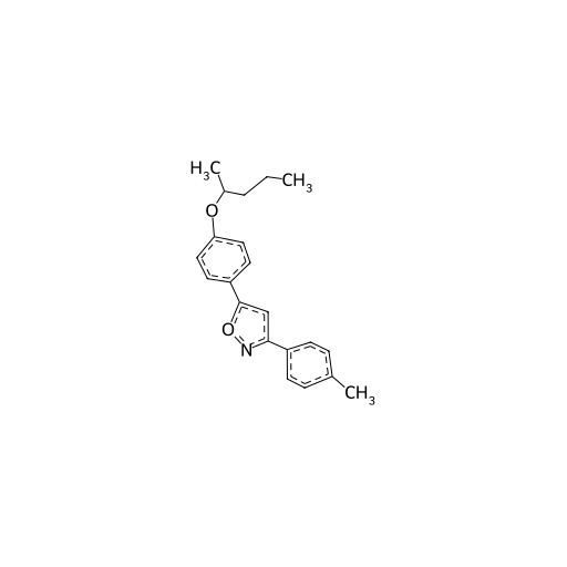 CCCC(C)Oc1ccc(-c2cc(-c3ccc(C)cc3)no2)cc1